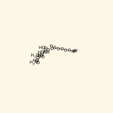 CC(=O)N[C@@H](CCCNC(N)=O)C(=O)NCC(=O)N[C@@H](CC(=O)O)c1ccc(-c2ccc(OCCOCCOCCOCCOCCN=[N+]=[N-])c3ccccc23)cc1